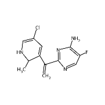 C=C(C1=CC(Cl)=CNC1C)c1ncc(F)c(N)n1